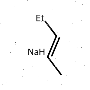 CC=CCC.[NaH]